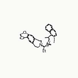 CCC(N1CCc2cc3c(cc2CC1)OCO3)N(C)C(C)c1c(C)ccc2ccccc12